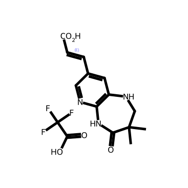 CC1(C)CNc2cc(/C=C/C(=O)O)cnc2NC1=O.O=C(O)C(F)(F)F